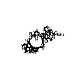 CCn1c(-c2cccnc2[C@H](C)OC)c2c3cc(ccc31)-c1csc(n1)C[C@H](NC(=O)[C@H](C(C)C)N(C)C(=O)N1CCCOC13CN(C(=O)OC(C)(C)C)C3)C(=O)N1CCC[C@H](N1)C(=O)OCC(C)(C)C2